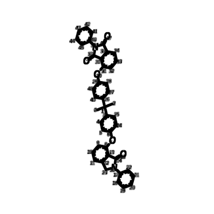 CC(C)(c1ccc(Oc2cccc3c2C(=O)N(c2ccccc2)C3)cc1)c1ccc(Oc2cccc3c2C(=O)N(c2ccccc2)C3=O)cc1